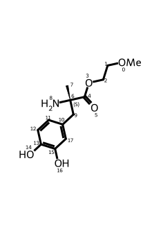 COCCOC(=O)[C@@](C)(N)Cc1ccc(O)c(O)c1